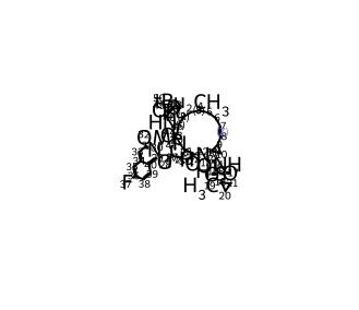 CC[C@@H]1C[C@@H](C)CC/C=C\C2C[C@@]2(C(=O)NS(=O)(=O)C2(C)CC2)NC(=O)[C@@H]2C[C@@H](Oc3nc(OC)cc4cc(F)ccc34)CN2C(=O)[C@H]1NC(=O)OC(C)(C)C